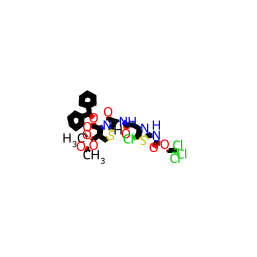 COC(OC(C)=O)C1=C(C(=O)OC(c2ccccc2)c2ccccc2)N2C(=O)[C@H](NC(=O)Cc3nc(NC(=O)OCC(Cl)(Cl)Cl)sc3Cl)[C@H]2SC1